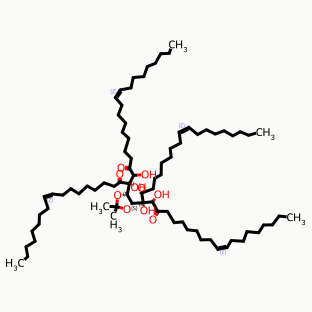 CCCCCCCC/C=C\CCCCCCCC(=O)C(O)[C@](O)(C(=O)CCCCCCC/C=C\CCCCCCCC)[C@H]1OC(C)(C)O[C@@H]1[C@@](O)(C(=O)CCCCCCC/C=C\CCCCCCCC)C(O)C(=O)CCCCCCC/C=C\CCCCCCCC